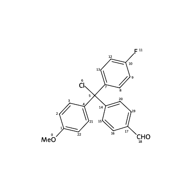 COc1ccc(C(Cl)(c2ccc(F)cc2)c2ccc(C=O)cc2)cc1